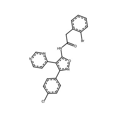 O=C(Cc1ccccc1Br)Nc1onc(-c2ccc(Cl)cc2)c1-c1ccncn1